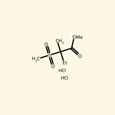 CCC(C)(C(=O)OC)S(C)(=O)=O.Cl.Cl